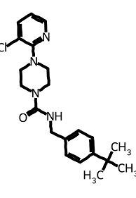 CC(C)(C)c1ccc(CNC(=O)N2CCN(c3ncccc3Cl)CC2)cc1